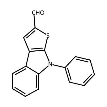 O=Cc1cc2c3ccccc3n(-c3ccccc3)c2s1